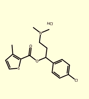 Cc1ccsc1C(=O)OC(CCN(C)C)c1ccc(Cl)cc1.Cl